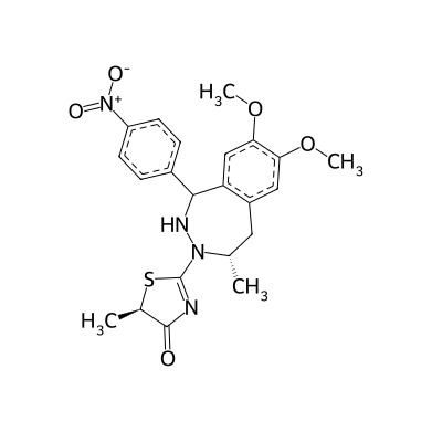 COc1cc2c(cc1OC)C(c1ccc([N+](=O)[O-])cc1)NN(C1=NC(=O)[C@@H](C)S1)[C@@H](C)C2